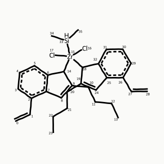 C=Cc1cccc2c1C=C(CCCC)[CH]2[Zr]([Cl])([Cl])([CH]1C(CCCC)=Cc2c(C=C)cccc21)[SiH](C)C